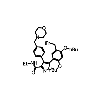 CCCCOc1cc(OCCCC)c(-c2onc(C(=O)NCC)c2-c2ccc(CN3CCOCC3)cc2)cc1CC(C)C